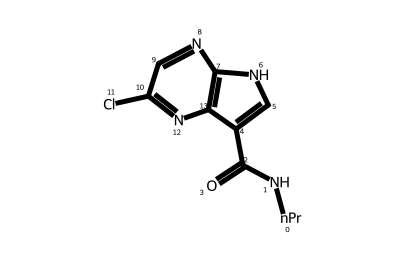 CCCNC(=O)c1c[nH]c2ncc(Cl)nc12